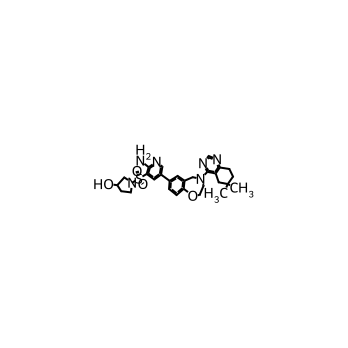 CC1(C)CCc2ncnc(N3CCOc4ccc(-c5cnc(N)c(S(=O)(=O)N6CCC(O)C6)c5)cc4C3)c2C1